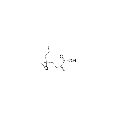 C=C(CCC1(CCC)CO1)C(=O)O